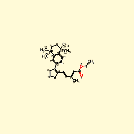 CCOC(=O)C=C(C)C=CC1=C(c2ccc3c(c2)C(C)(C)CCC3(C)C)CCC1